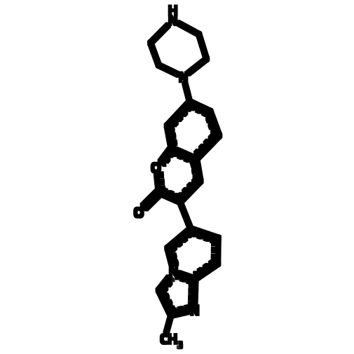 Cc1cn2cc(-c3cc4ccc(N5CCNCC5)cc4oc3=O)ccc2n1